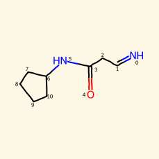 N=CCC(=O)NC1CCCC1